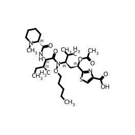 CCCCCON(C(=O)[C@@H](NC(=O)[C@H]1CCCCN1C)[C@@H](C)CC)[C@H](C[C@@H](OC(C)=O)c1nc(C(=O)O)cs1)C(C)C